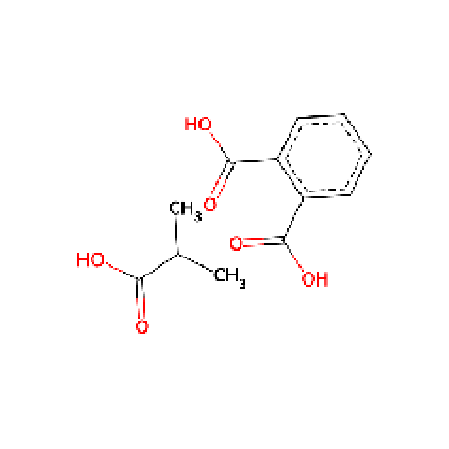 CC(C)C(=O)O.O=C(O)c1ccccc1C(=O)O